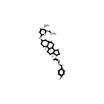 CC(=O)OC[C@H]1OC(OC2CC[C@@]3(C)C(=CCC4C3CC[C@@]3(C)C4CC[C@@H]3/C(C)=N/OCc3ccc(F)cc3)C2)C=C[C@@H]1OC(C)=O